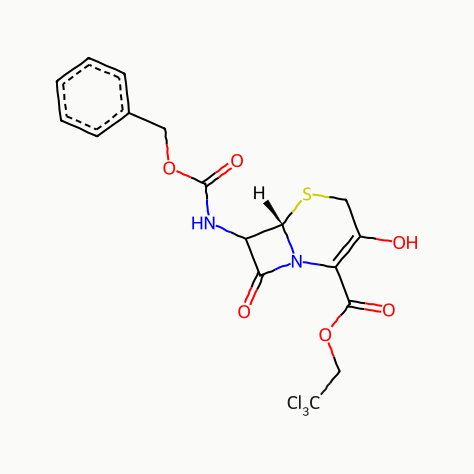 O=C(NC1C(=O)N2C(C(=O)OCC(Cl)(Cl)Cl)=C(O)CS[C@@H]12)OCc1ccccc1